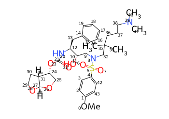 COc1ccc(S(=O)(=O)N(C[C@H](O)[C@H](Cc2ccccc2)NC(=O)O[C@@H]2CO[C@@H]3OCC[C@@H]32)CC(C)(C)CCCN(C)C)cc1